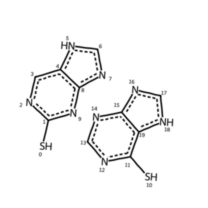 Sc1ncc2[nH]cnc2n1.Sc1ncnc2nc[nH]c12